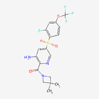 CC1(C)CN(C(=O)c2ncc(S(=O)(=O)c3ccc(OC(F)(F)F)cc3F)cc2N)C1